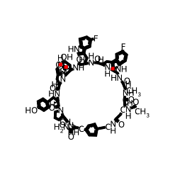 CC(=O)N[C@H]1CCC(=O)NCc2ccc(cc2)C[C@@H](C(N)=O)NC(=O)[C@]2(C)CCCN2C(=O)[C@H](Cc2ccc(O)cc2)NC(=O)[C@H](Cc2c[nH]cn2)NC(=O)[C@H](CC(=O)O)NC(=O)[C@H](Cc2c[nH]c3ccc(F)cc23)NC(=O)[C@H](Cc2c[nH]c3ccc(F)cc23)NC(=O)CNC(=O)[C@H](C)NC1=O